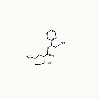 CC(C)[C@@H]1CC[C@@H](C)C[C@H]1C(=O)O[C@H](CO)c1ccccc1